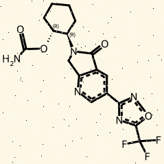 NC(=O)O[C@@H]1CCCC[C@H]1N1Cc2ncc(-c3noc(C(F)(F)F)n3)cc2C1=O